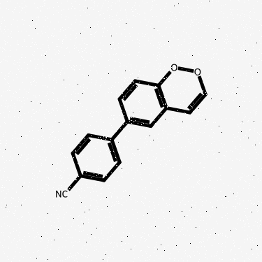 N#Cc1ccc(-c2ccc3c(c2)C=COO3)cc1